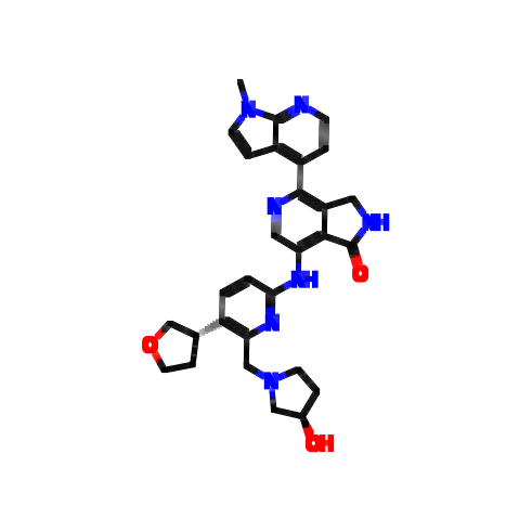 Cn1ccc2c(-c3ncc(Nc4ccc([C@@H]5CCOC5)c(CN5CC[C@@H](O)C5)n4)c4c3CNC4=O)ccnc21